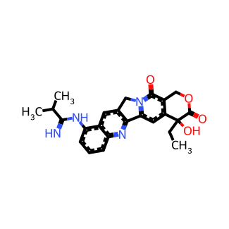 CCC1(O)C(=O)OCc2c1cc1n(c2=O)Cc2cc3c(NC(=N)C(C)C)cccc3nc2-1